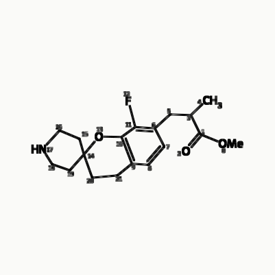 COC(=O)C(C)Cc1ccc2c(c1F)OC1(CCNCC1)CC2